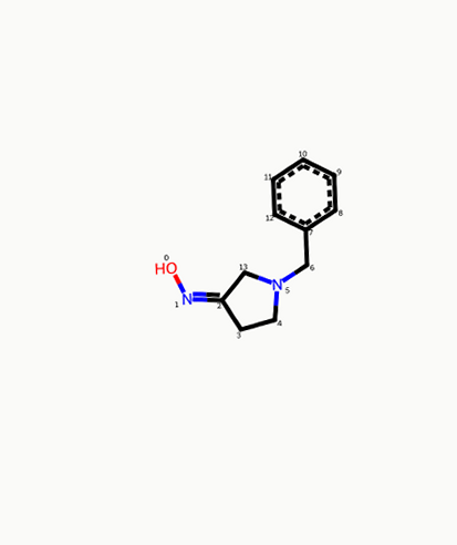 O/N=C1/CCN(Cc2ccccc2)C1